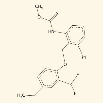 CCc1ccc(OCc2c(Cl)cccc2NC(=S)OC)c(C(F)F)c1